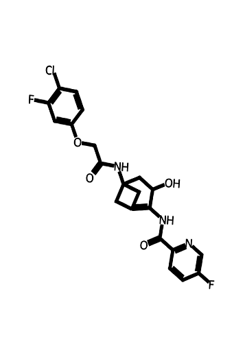 O=C(COc1ccc(Cl)c(F)c1)NC12CC(=C(NC(=O)c3ccc(F)cn3)C(O)C1)C2